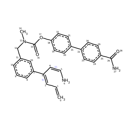 C=C/C=C(\C=C/N)c1cccc(CN(C)C(=O)Oc2ccc(-c3ccc(C(N)=O)cc3)cc2)c1